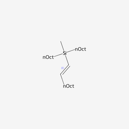 CCCCCCCC/C=C/[Si](C)(CCCCCCCC)CCCCCCCC